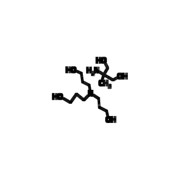 CC(N)(CO)CO.OCCCN(CCCO)CCCO